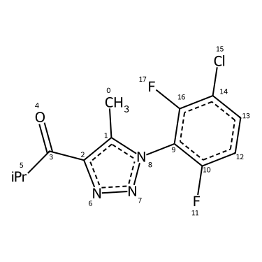 Cc1c(C(=O)C(C)C)nnn1-c1c(F)ccc(Cl)c1F